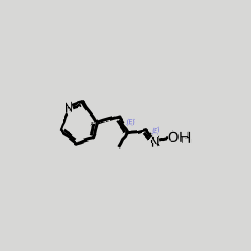 CC(/C=N/O)=C\c1cccnc1